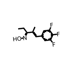 CCC(=NO)/C(C)=C/c1cc(F)c(F)c(F)c1